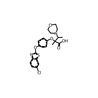 CC(N1CCOCC1)C(C)(Oc1ccc(Oc2nc3ccc(Cl)cc3s2)cc1)C(=O)O